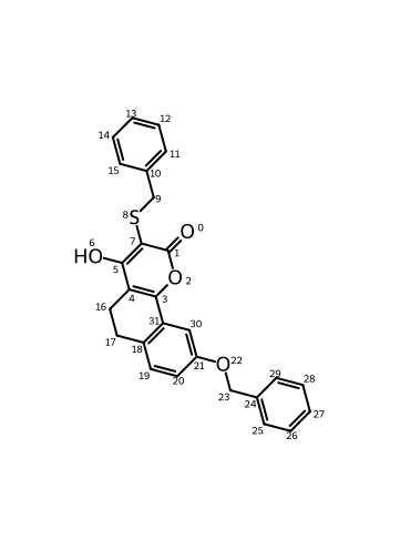 O=c1oc2c(c(O)c1SCc1ccccc1)CCc1ccc(OCc3ccccc3)cc1-2